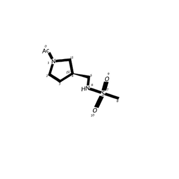 CC(=O)N1CC[C@H](CNS(C)(=O)=O)C1